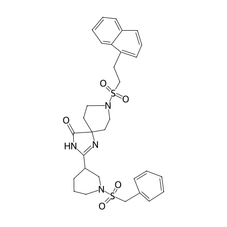 O=C1NC(C2CCCN(S(=O)(=O)Cc3ccccc3)C2)=NC12CCN(S(=O)(=O)CCc1cccc3ccccc13)CC2